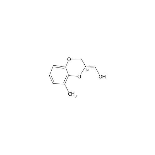 Cc1cccc2c1O[C@@H](CO)CO2